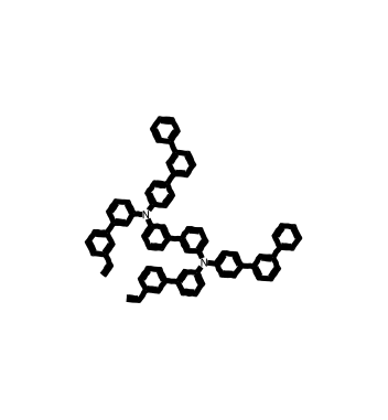 C=Cc1cccc(-c2cccc(N(c3ccc(-c4cccc(-c5ccccc5)c4)cc3)c3cccc(-c4cccc(N(c5ccc(-c6cccc(-c7ccccc7)c6)cc5)c5cccc(-c6cccc(C=C)c6)c5)c4)c3)c2)c1